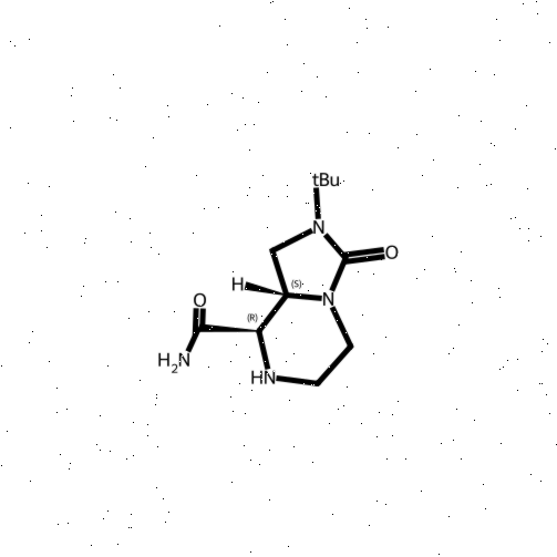 CC(C)(C)N1C[C@H]2[C@H](C(N)=O)NCCN2C1=O